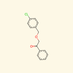 O=C(COCc1ccc(Cl)cc1)c1ccccc1